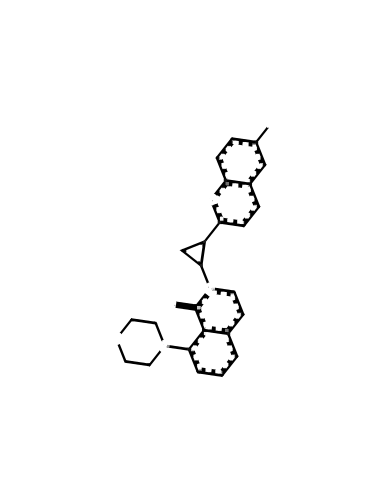 O=c1c2c(N3CCOCC3)cccc2ccn1C1CC1c1ccc2cc(F)ccc2n1